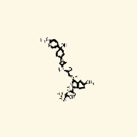 Cc1ccc2c(c1)c(NCC(=O)NC1CN(C3CCC(O)(c4ccc(C)nc4)CC3)C1)nn2C(=O)NC(C)(C)C